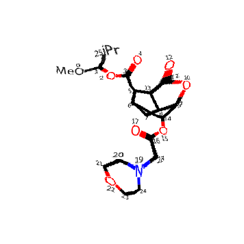 COC(OC(=O)C1C2CC3C(OC(=O)C31)C2OC(=O)CN1CCOCC1)C(C)C